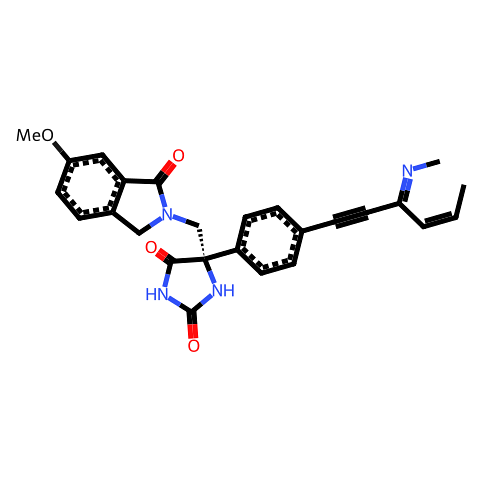 C/C=C\C(C#Cc1ccc([C@@]2(CN3Cc4ccc(OC)cc4C3=O)NC(=O)NC2=O)cc1)=N/C